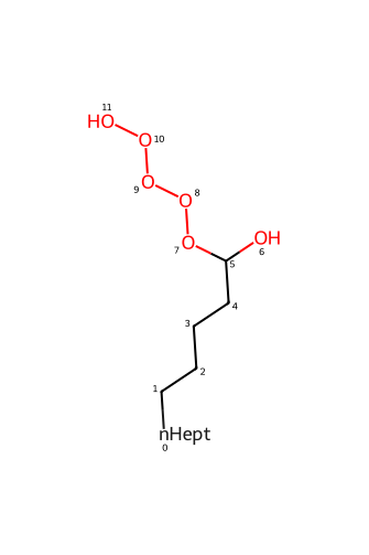 CCCCCCCCCCCC(O)OOOOO